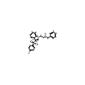 O=S(=O)(c1ccc(F)cc1)c1cn(CCNCc2ccccc2)c2cccnc12